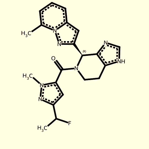 Cc1cccc2cc([C@H]3c4nc[nH]c4CCN3C(=O)c3cc(C(C)F)nn3C)nn12